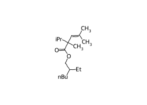 CCCCC(CC)COC(=O)C(C)(C=C(C)C)C(C)C